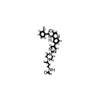 CC(=O)NCCC(C)N1CCN(c2ncc(-c3ccc4ncc(Cl)c(N[C@H](C)c5ccccc5F)c4c3)cn2)CC1